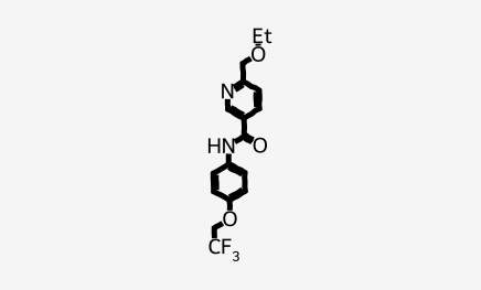 CCOCc1ccc(C(=O)Nc2ccc(OCC(F)(F)F)cc2)cn1